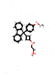 COc1ccc(C2(C3=CC(OCCO)=C3)c3ccccc3-c3ccccc32)cc1